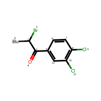 CCC(C)C(Br)C(=O)c1ccc(Cl)c(Cl)c1